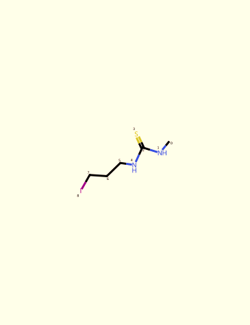 CNC(=S)NCCCI